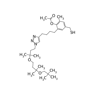 CC(=O)Oc1c(C)cc(CS)cc1CCCCc1cn(CCC(C)(C)OCCC(C)(C)OCC(C)(C)C)nn1